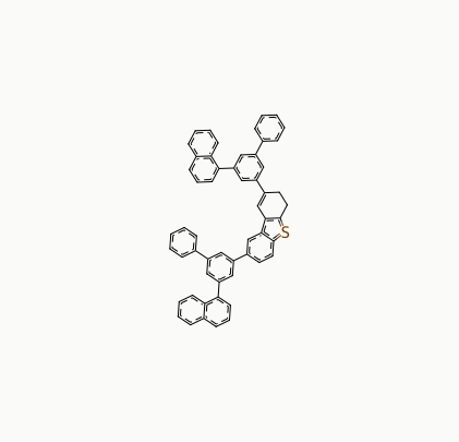 C1=C(c2cc(-c3ccccc3)cc(-c3cccc4ccccc34)c2)CCc2sc3ccc(-c4cc(-c5ccccc5)cc(-c5cccc6ccccc56)c4)cc3c21